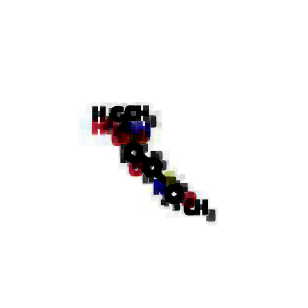 COc1ccc2nc(-c3ccc4c(c3)oc3ccc(S(=O)(=O)N[C@@H](C(=O)O)C(C)C)cc34)sc2c1